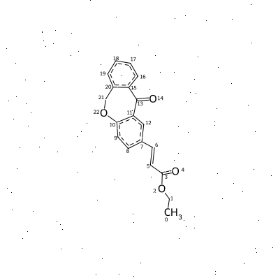 CCOC(=O)/C=C/c1ccc2c(c1)C(=O)c1ccccc1CO2